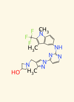 Cc1nn(-c2ccnc(Nc3ccc4c(c3)c(C)c(C(F)(F)F)n4C)n2)cc1CN1CC(O)C1